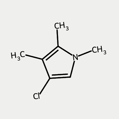 Cc1c(Cl)cn(C)c1C